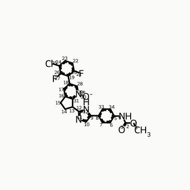 COC(=O)Nc1ccc(-c2cnc(C3CCc4cc(-c5c(F)ccc(Cl)c5F)c[n+]([O-])c43)[nH]2)cc1